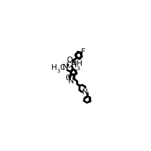 CN(C)Cc1c(CNC(=O)c2ccc(F)cc2)ccc2c(CCC3CCN(CC4=CCCC=C4)CC3)noc12